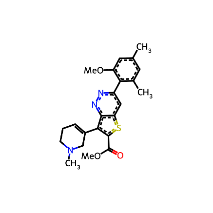 COC(=O)c1sc2cc(-c3c(C)cc(C)cc3OC)nnc2c1C1=CCCN(C)C1